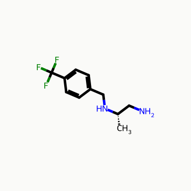 C[C@@H](CN)NCc1ccc(C(F)(F)F)cc1